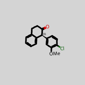 COc1cc([C@@H]2C(=O)CCc3ccccc32)ccc1Cl